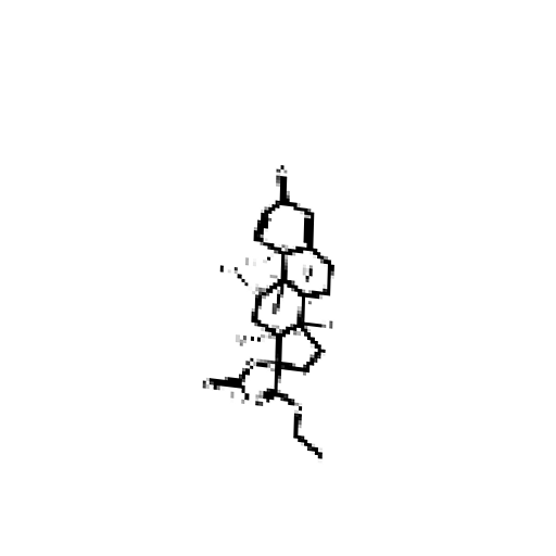 CC(=O)O[C@]1(C(=O)SCF)CC[C@H]2[C@@H]3CCC4=CC(=O)C=C[C@]4(C)[C@@]3(F)[C@@H](O)C[C@@]21C